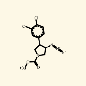 CC(C)(C)OC(=O)N1C[C@H](N=[N+]=[N-])[C@H](c2ccc(Cl)c(Cl)c2)C1